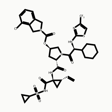 C=C[C@@H]1C[C@]1(NC(=O)[C@@H]1C[C@@H](OC(=O)N2Cc3cccc(Cl)c3C2)CN1C(=O)[C@@H](Nc1nc(C(F)(F)F)cs1)C1CCCCC1)C(=O)NS(=O)(=O)C1CC1